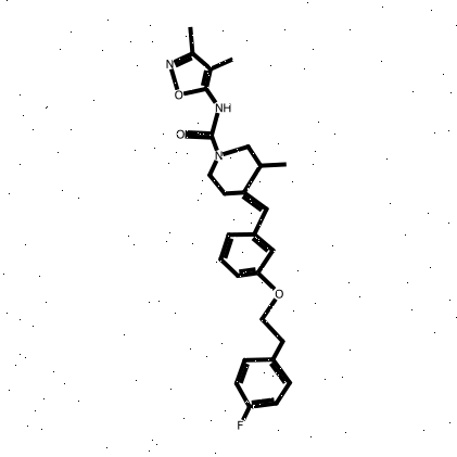 Cc1noc(NC(=O)N2CCC(=Cc3cccc(OCCc4ccc(F)cc4)c3)C(C)C2)c1C